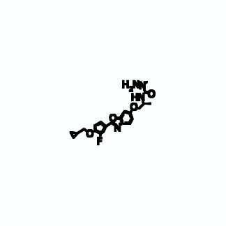 C[C@@H](COc1ccc2nc(-c3ccc(OCC4CC4)c(F)c3)oc2c1)NC(=O)N(C)N